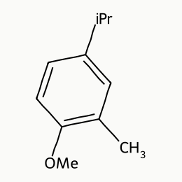 COc1ccc(C(C)C)cc1C